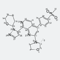 C[C@@H]1COCCN1c1cc(-c2ccc(S(C)(=O)=O)cc2)c2ccnc(-c3ccnn3C3CCCCO3)c2n1